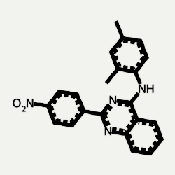 Cc1ccc(Nc2nc(-c3ccc([N+](=O)[O-])cc3)nc3ccccc23)c(C)c1